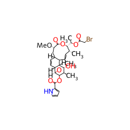 CO[C@H]1C[C@H]2C=C[C@H]3[C@H]4O[C@]2(/C(C)=C/[C@@H](C)[C@@H](C(C)OC(=O)CBr)OC1=O)[C@@H]3[C@H](O)[C@@H](C)[C@H]4OC(=O)c1ccc[nH]1